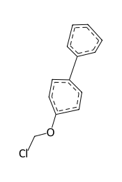 ClCOc1ccc(-c2ccccc2)cc1